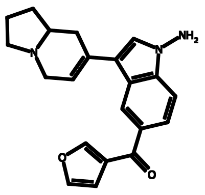 Nn1cc(C2=CCN3CCCC3C2)c2cc(C(=O)c3ccoc3)ccc21